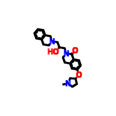 CN1CCC(Oc2ccc3c(c2)CCN(CC(O)CN2CCc4ccccc4C2)C3=O)C1